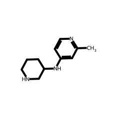 Cc1cc(NC2CCCNC2)ccn1